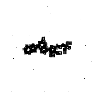 O=P(O)(O)COC[C@H]1O[C@@H](n2cnc3c(-n4cc5ccccc5c4)nc(Cl)nc32)[C@H](O)[C@@H]1O